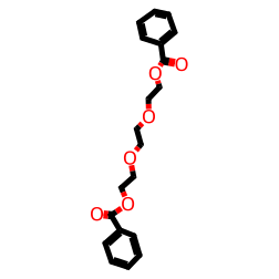 O=C(OCCOCCOCCOC(=O)c1ccccc1)c1ccccc1